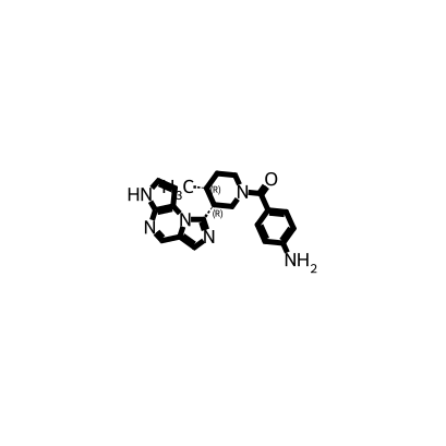 C[C@@H]1CCN(C(=O)c2ccc(N)cc2)C[C@@H]1c1ncc2cnc3[nH]ccc3n12